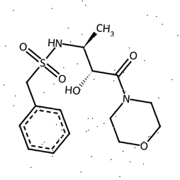 C[C@H](NS(=O)(=O)Cc1ccccc1)[C@@H](O)C(=O)N1CCOCC1